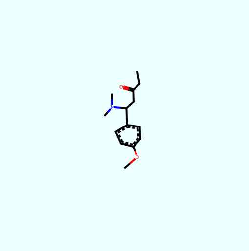 CCC(=O)CC(c1ccc(OC)cc1)N(C)C